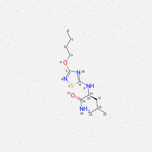 CCCCOc1nsc(N[C@@H](CC(C)C)C(N)=O)n1